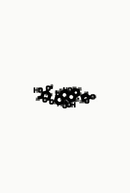 COC1C[C@@H](O[C@H]2CC[C@]3(C=O)C4C(CC[C@@H]3C2)[C@@]2(O)CC[C@H](C3=CC(=O)OC3)[C@@]2(C)C[C@H]4O)OC(C)[C@H]1O